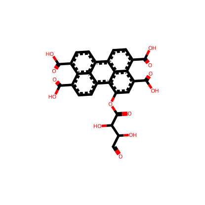 O=CC(O)C(O)C(=O)Oc1cc(C(=O)O)c2c(C(=O)O)ccc3c4ccc(C(=O)O)c5c(C(=O)O)ccc(c1c23)c54